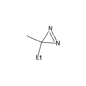 [CH2]CC1(C)N=N1